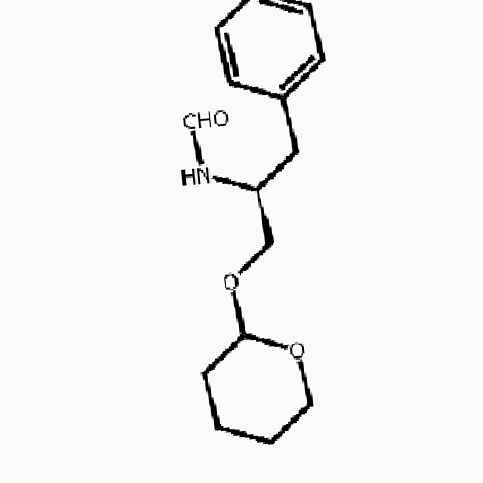 O=CN[C@H](COC1CCCCO1)Cc1ccccc1